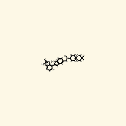 Cc1nc2c(-c3cc4cc(CN(C)C5CCC6(CC5)OCC(C)(C)CO6)ccc4[nH]3)ccnc2[nH]1